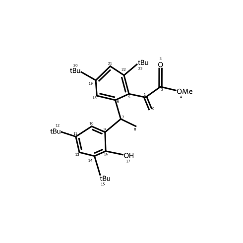 C=C(C(=O)OC)c1c(C(C)c2cc(C(C)(C)C)cc(C(C)(C)C)c2O)cc(C(C)(C)C)cc1C(C)(C)C